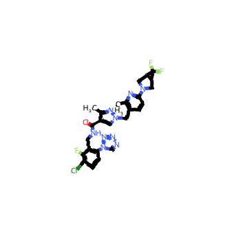 Cc1nc(N2CC3C(C2)C3(F)F)ccc1Cn1cc(C(=O)NCc2c(-n3cnnn3)ccc(Cl)c2F)c(C)n1